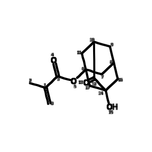 C=C(C)C(=O)OC12CC3CC(C1)C(=O)C(O)(C3)C2